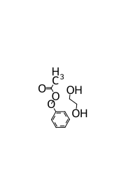 CC(=O)OOc1ccccc1.OCCO